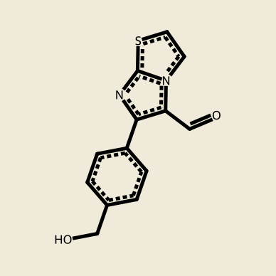 O=Cc1c(-c2ccc(CO)cc2)nc2sccn12